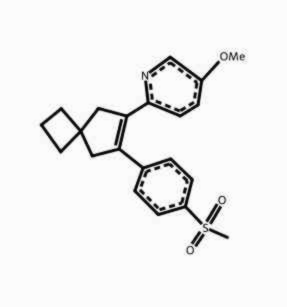 COc1ccc(C2=C(c3ccc(S(C)(=O)=O)cc3)CC3(CCC3)C2)nc1